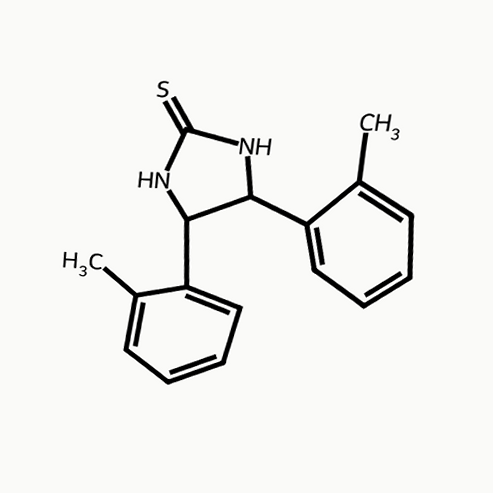 Cc1ccccc1C1NC(=S)NC1c1ccccc1C